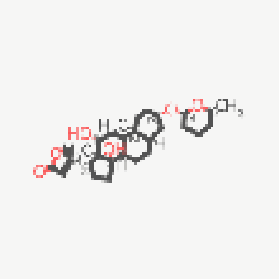 C[C@@H]1CCC[C@H](O[C@H]2CC[C@]3(C)C4C[C@@H](O)[C@]5(C)[C@@H](C6=CC(=O)OC6)CC[C@]5(O)[C@@H]4CC[C@@H]3C2)O1